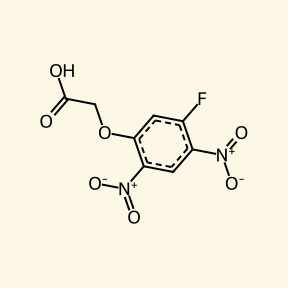 O=C(O)COc1cc(F)c([N+](=O)[O-])cc1[N+](=O)[O-]